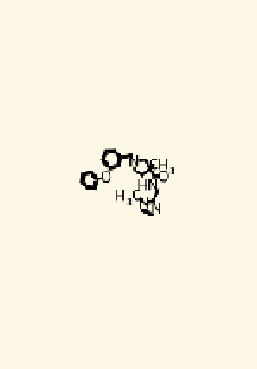 Cn1ccnc1CNC(=O)C1(C)CCN(Cc2cccc(Oc3ccccc3)c2)C1